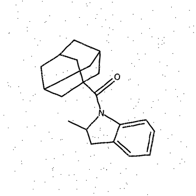 CC1Cc2ccccc2N1C(=O)C12CC3CC(CC(C3)C1)C2